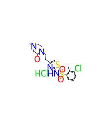 Cc1c(Cl)cccc1S(=O)(=O)Nc1nc(CCN2CCN(C)CC2=O)cs1.Cl